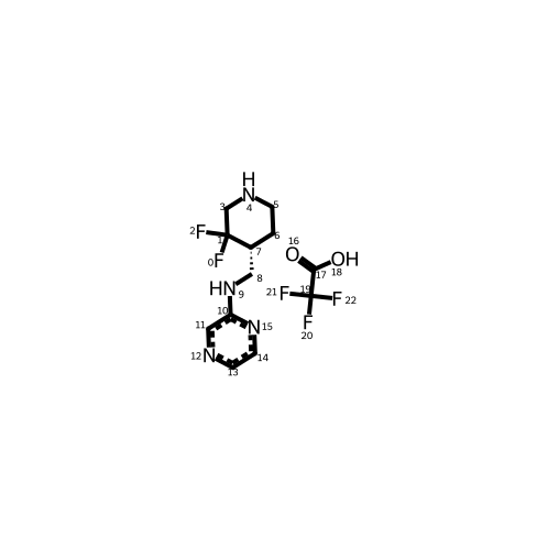 FC1(F)CNCC[C@@H]1CNc1cnccn1.O=C(O)C(F)(F)F